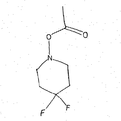 CC(=O)ON1CCC(F)(F)CC1